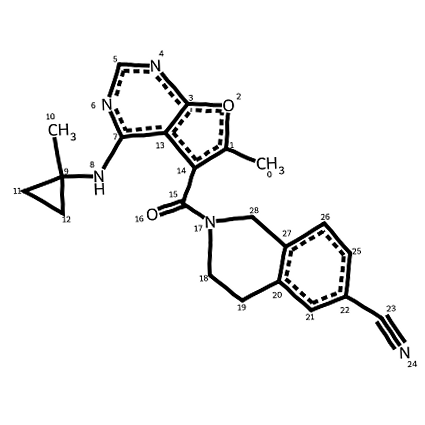 Cc1oc2ncnc(NC3(C)CC3)c2c1C(=O)N1CCc2cc(C#N)ccc2C1